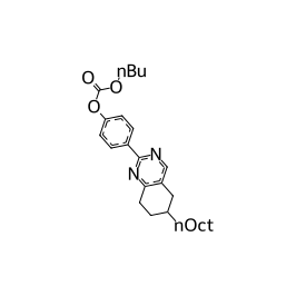 CCCCCCCCC1CCc2nc(-c3ccc(OC(=O)OCCCC)cc3)ncc2C1